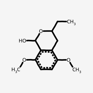 CCC1Cc2c(OC)ccc(OC)c2C(O)O1